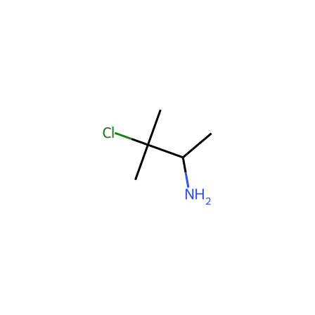 CC(N)C(C)(C)Cl